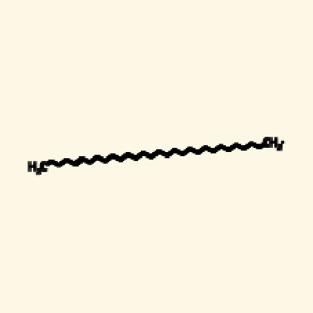 [CH2]CCCCCCCCCCCCCCCCCCCCCCCC=CCCCC